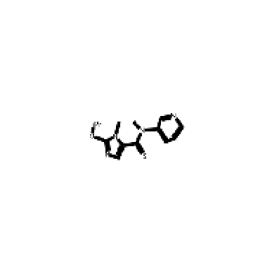 CC(C)Oc1ncc(C(=S)N(C)c2cccnc2)n1C